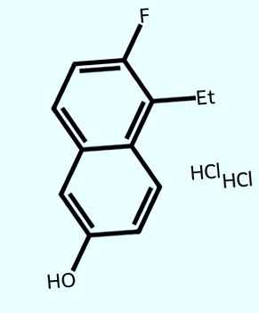 CCc1c(F)ccc2cc(O)ccc12.Cl.Cl